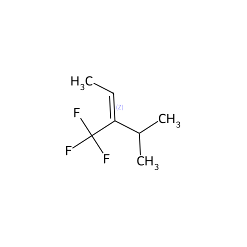 C/C=C(/C(C)C)C(F)(F)F